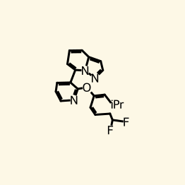 CC(C)/C=C(\C=C/CC(F)F)Oc1ncccc1-c1cccc2ccnn12